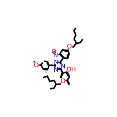 C=C(/C=C(/O)C(=C)c1nc(C(/C=C\C(C)OC)=C/C)nc(-c2ccc(OCC(CC)CCCC)cc2N=O)n1)OCC(CC)CCCC